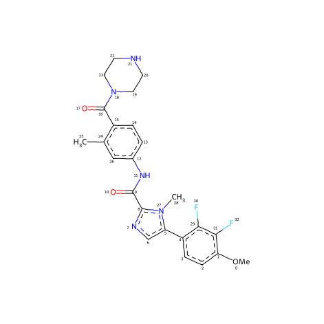 COc1ccc(-c2cnc(C(=O)Nc3ccc(C(=O)N4CCNCC4)c(C)c3)n2C)c(F)c1F